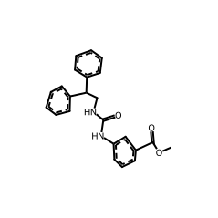 COC(=O)c1cccc(NC(=O)NCC(c2ccccc2)c2ccccc2)c1